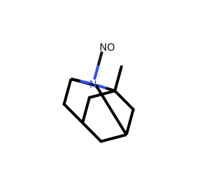 CC12CC3CC(CC(C3)N1N=O)C2